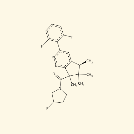 C[C@@H]1c2cc(-c3c(F)cccc3F)nnc2C(C)(C(=O)N2CCC(F)C2)C1(C)C